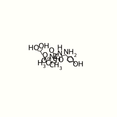 CC1(C)S[C@@H]2[C@H](NC(=O)C(N)c3ccc(O)cc3)C(=O)N2[C@H]1C(=O)OCC(CO)CO